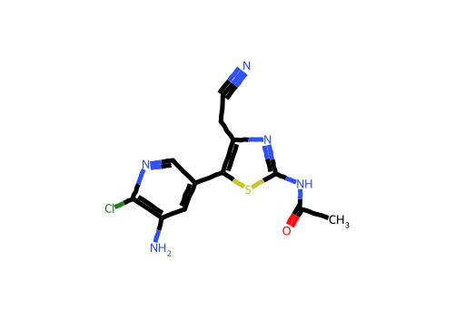 CC(=O)Nc1nc(CC#N)c(-c2cnc(Cl)c(N)c2)s1